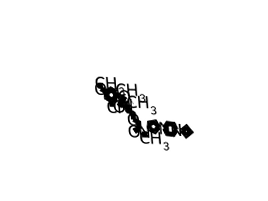 COc1cc(C)c(S(=O)(=O)N(C)CCOCC(=O)N(C)C2CCC(N3CCN(C4CCC4)CC3)C2)c(C)c1